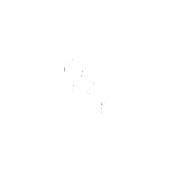 CC1OCCCC1NNC(=O)O